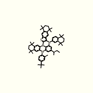 CCC(C)c1cc2c3c(c1)N(c1ccc4c(c1)C(C)(C)CCC4(C)C)c1c(sc4cc5c(cc14)C(C)(C)CCC5(C)C)B3c1cc3c(cc1N2c1ccc(C(C)(C)C)cc1C)C(C)(C)CCC3(C)C